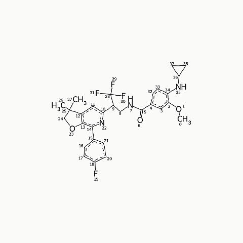 COc1cc(C(=O)NCC(c2cc3c(c(-c4ccc(F)cc4)n2)OCC3(C)C)C(F)(F)F)ccc1NC1CC1